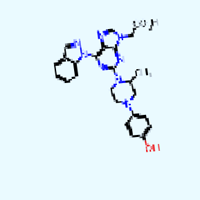 CC1CN(c2ccc(O)cc2)CCN1c1nc(-n2ncc3ccccc32)c2ncn(CC(=O)O)c2n1